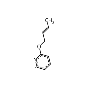 C/C=C/COc1ccc[c]n1